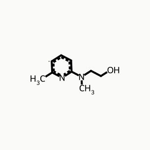 Cc1[c]ccc(N(C)CCO)n1